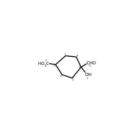 O=CC1(O)CCC(C(=O)O)CC1